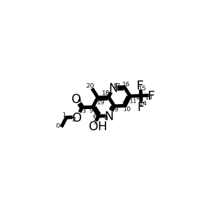 CCOC(=O)c1c(O)nc2cc(C(F)(F)F)cnc2c1C